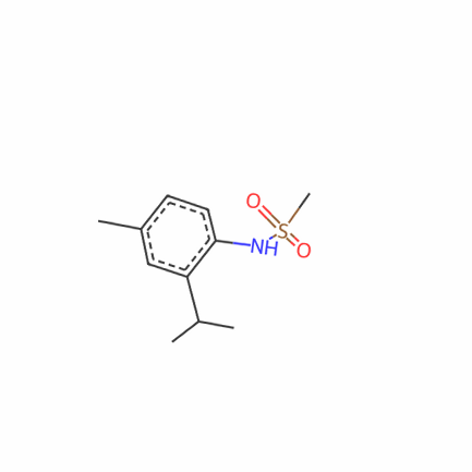 Cc1ccc(NS(C)(=O)=O)c(C(C)C)c1